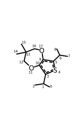 CC(C)c1sc(C(C)C)c2c1OCC(C)(C)CO2